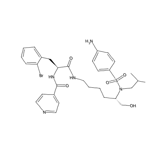 CC(C)CN([C@H](CO)CCCCNC(=O)[C@H](Cc1ccccc1Br)NC(=O)c1ccncc1)S(=O)(=O)c1ccc(N)cc1